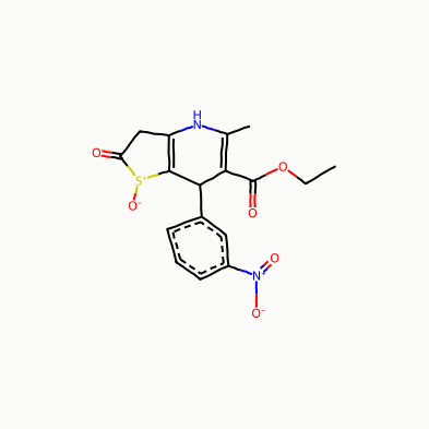 CCOC(=O)C1=C(C)NC2=C(C1c1cccc([N+](=O)[O-])c1)[S+]([O-])C(=O)C2